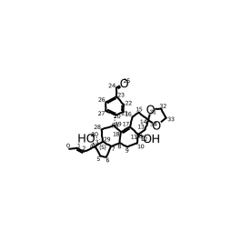 CC=C[C@]1(O)CCC2C3CC[C@@]4(O)CC5(CCC4=C3[C@@H](c3ccc(C=O)cc3)C[C@@]21C)OCCO5